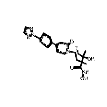 CC(O)(CF)C(C)(CCn1ccc(-c2ccc(-n3nccn3)cc2)cc1=O)C(=O)NO